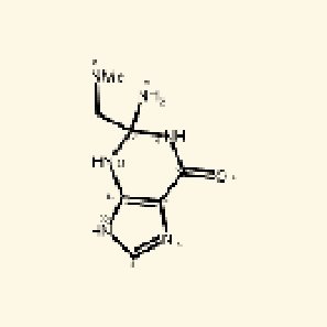 CNCC1(N)NC(=O)c2nc[nH]c2N1